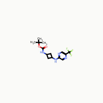 CC(C)(C)OC(=O)NC1CC(Nc2cnc(C(F)(F)F)cn2)C1